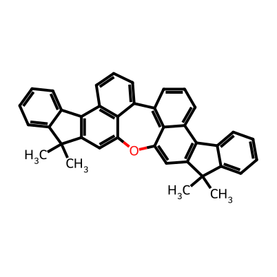 CC1(C)c2ccccc2-c2c1cc1oc3cc4c(c5cccc(c6cccc2c16)c35)-c1ccccc1C4(C)C